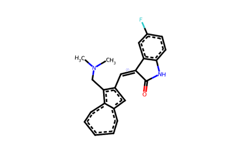 CN(C)Cc1c(/C=C2\C(=O)Nc3ccc(F)cc32)cc2cccccc1-2